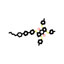 CCCCCC1CCC(c2ccc(-c3ccc(Sc4ccc(Sc5ccc(C)cc5)c5c4C(=O)c4c(Sc6ccc(C)cc6)ccc(Sc6ccc(C)cc6)c4C5=O)cc3)cc2)CC1